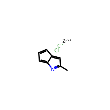 CC1=NC2=CC=CC2=C1.[Cl-].[Cl-].[Zr+2]